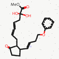 COC(=O)C(O)(O)CC=C=CCC1C(=O)CCC1/C=C/CCOc1ccccc1